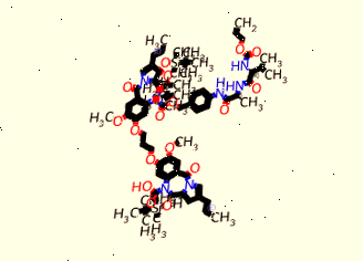 C=CCOC(=O)N[C@@H](C(=O)N[C@H](C)C(=O)Nc1ccc(COC(=O)N2C[C@@H]3N(C=C(/C=C/C)C3(O[Si](C)(C)C(C)(C)C)O[Si](C)(C)C(C)(C)C)C(=O)c3cc(OC)c(OCCCOc4cc5c(cc4OC)C(=O)N4C=C(/C=C/C)C[C@H]4[C@H](O[Si](C)(C)C(C)(C)C)N5C(=O)O)cc32)cc1)C(C)C